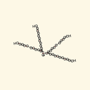 Cc1cc(N(CCOCCOCCOCCOCCOCCOCCOCCOCCOCCO)OCCOCCOCCOCCOCCCCOCCOCCOCCOCCO)ccc1C(c1ccco1)c1ccc(N(CCOCCOCCOCCOCCOCCOCCOCCOCCOCCO)OCCOCCOCCOCCOCCCCOCCOCCOCCOCCO)cc1C